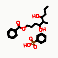 CCCC(O)C(C)C(O)CCCOC(=O)c1ccccc1.O=S(=O)(O)c1ccccc1